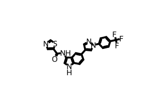 O=C(Nc1c[nH]c2ccc(-c3cnn(-c4ccc(C(F)(F)F)cc4)c3)cc12)c1cncs1